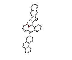 c1ccc(N(c2ccc3c(ccc4ccccc43)c2)c2ccccc2-c2cccc3c2oc2cc4ccccc4cc23)cc1